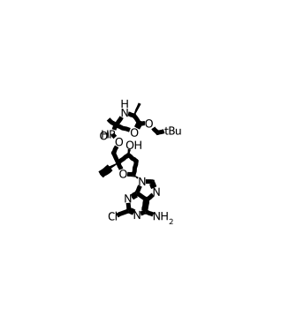 C#C[C@]1(CO[PH](=O)C(C)(C)N[C@@H](C)C(=O)OCC(C)(C)C)O[C@@H](n2cnc3c(N)nc(Cl)nc32)C[C@@H]1O